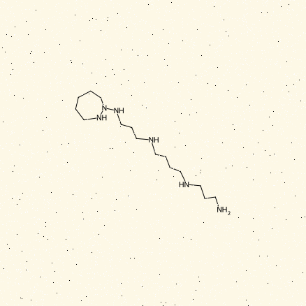 NCCCNCCCCNCCCNN1CCCCCN1